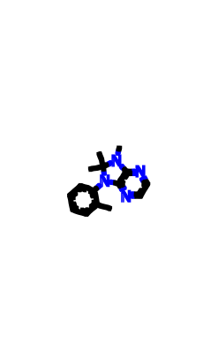 Cc1ccccc1N1c2nccnc2N(C)C1(C)C